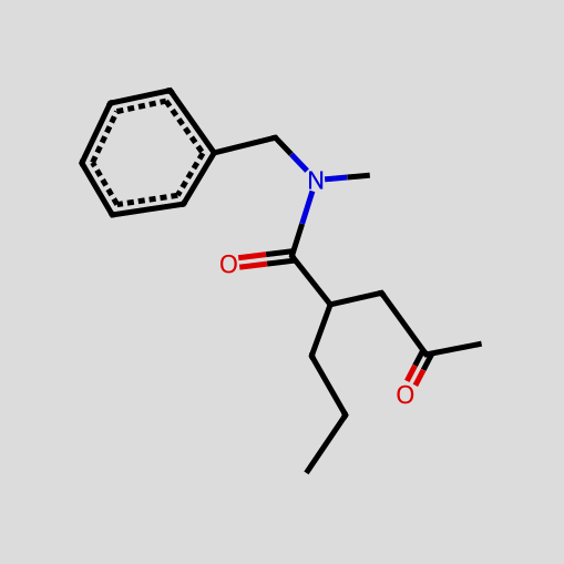 CCCC(CC(C)=O)C(=O)N(C)Cc1ccccc1